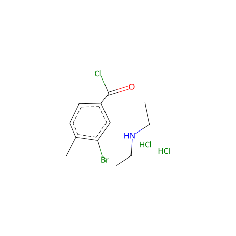 CCNCC.Cc1ccc(C(=O)Cl)cc1Br.Cl.Cl